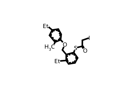 CCc1ccc(OCc2c(CC)cccc2SC(=O)CI)c(C)c1